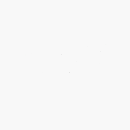 FC(F)(F)c1ccc(C2=CCOc3cc(Br)ccc32)cc1